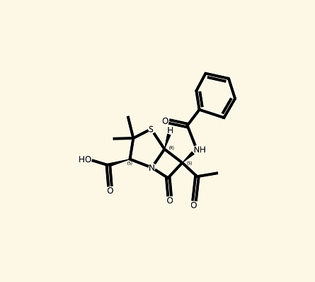 CC(=O)[C@]1(NC(=O)c2ccccc2)C(=O)N2[C@@H](C(=O)O)C(C)(C)S[C@@H]21